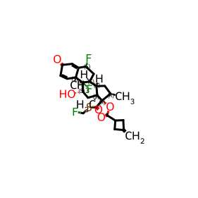 C=C1CC(C(=O)O[C@]2(C(=O)SCF)[C@H](C)C[C@H]3[C@@H]4C[C@H](F)C5=CC(=O)C=C[C@]5(C)[C@@]4(F)[C@@H](O)C[C@@]32C)C1